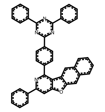 c1ccc(-c2cc3oc4cc5ccccc5cc4c3c(-c3ccc(-c4nc(-c5ccccc5)nc(-c5ccccc5)n4)cc3)n2)cc1